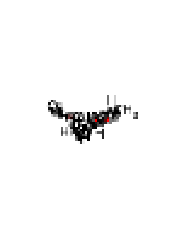 COc1cc2c(cc1OCCCN1CCOCC1)[nH]c1ncnc(N3CCN(C(=S)Nc4ccc(NC(C)=O)cc4)CC3)c12